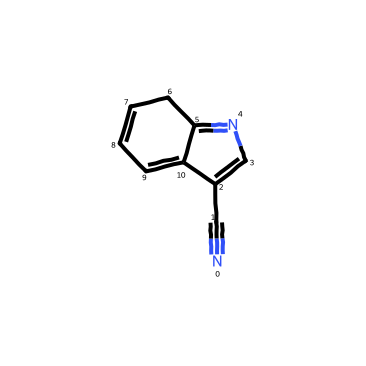 N#CC1=CN=C2CC=CC=C12